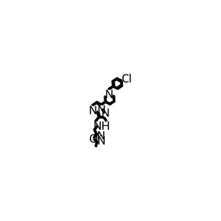 Cc1nnc(CNCc2c(C)nn3c(C4CCCN(Cc5ccc(Cl)cc5)C4)ccnc23)o1